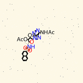 CC(=O)Nc1ncnc2c1ncn2[C@@H]1O[C@H](CNS(=O)(=O)c2ccc3ccccc3c2)[C@@H](OC(C)=O)[C@H]1OC(C)=O